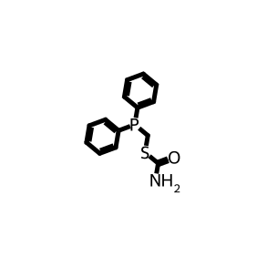 NC(=O)SCP(c1ccccc1)c1ccccc1